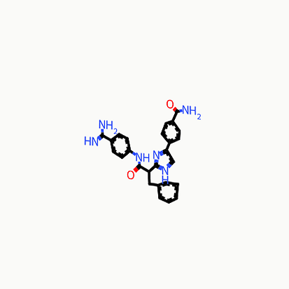 N=C(N)c1ccc(NC(=O)C(Cc2ccccc2)c2nc(-c3ccc(C(N)=O)cc3)c[nH]2)cc1